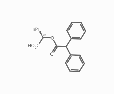 CCC[C@@H](OC(=O)C(c1ccccc1)c1ccccc1)C(=O)O